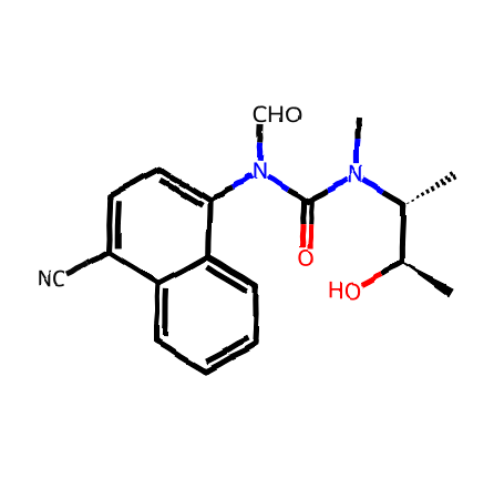 C[C@H]([C@@H](C)O)N(C)C(=O)N(C=O)c1ccc(C#N)c2ccccc12